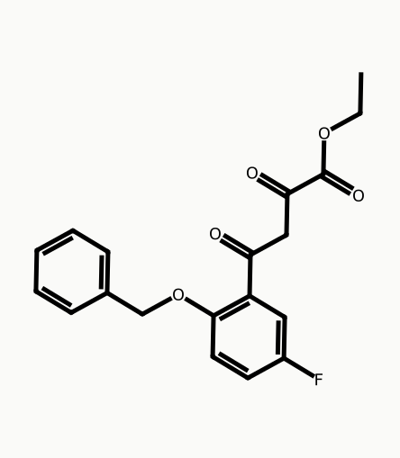 CCOC(=O)C(=O)CC(=O)c1cc(F)ccc1OCc1ccccc1